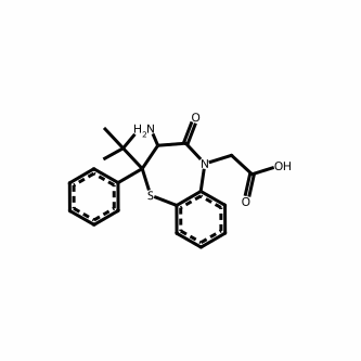 CC(C)(C)C1(c2ccccc2)Sc2ccccc2N(CC(=O)O)C(=O)C1N